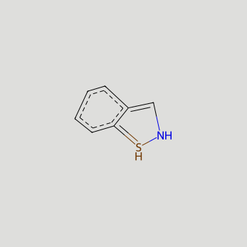 C1=c2ccccc2=[SH]N1